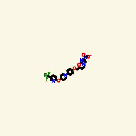 O=[N+]([O-])c1cn2c(n1)OC(COc1ccc(N3CCC(Oc4ccc(C(F)(F)F)cn4)CC3)cc1)CC2